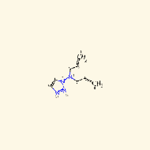 C=CCN(CC=C)n1ccnn1